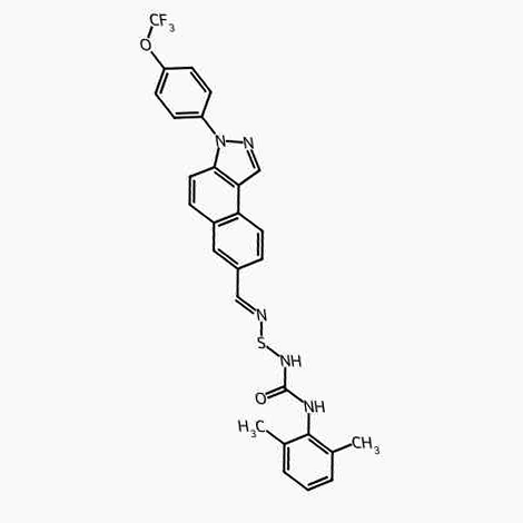 Cc1cccc(C)c1NC(=O)NS/N=C/c1ccc2c(ccc3c2cnn3-c2ccc(OC(F)(F)F)cc2)c1